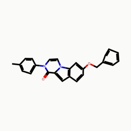 Cc1ccc(-n2ccn3c(cc4ccc(OCc5ccccc5)cc43)c2=O)cc1